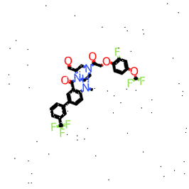 CNc1ccc(-c2cccc(C(F)(F)F)c2)cc1C(=O)N1CCN(C(=O)COc2ccc(OC(F)F)cc2F)CC1C=O